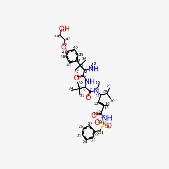 CNC(C(=O)NC(C(=O)N(C)C(/C=C(\C)C(=O)NS(=O)(=O)Cc1ccccc1)C(C)C)C(C)(C)C)C(C)(C)c1ccc(OCCO)cc1